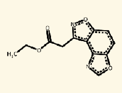 CCOC(=O)Cc1noc2ccc3ocnc3c12